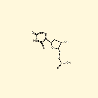 O=c1ccn([C@H]2C[C@H](O)[C@@H](CO[P+](=O)O)O2)c(=O)[nH]1